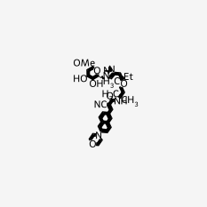 CCC(C)(Cc1cn(C[C@H]2O[C@H](OC)C[C@@H](O)[C@@H]2O)nn1)OCCC(C)(C)NC(=O)/C(C#N)=C/c1ccc2cc(N3CCOCC3)ccc2c1